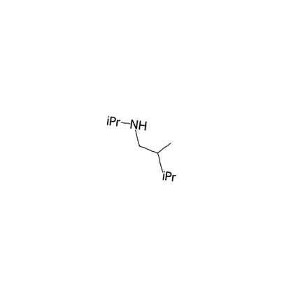 CC(C)NCC(C)C(C)C